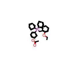 CC(=O)[O-].CCOc1ccccc1C[P+](c1ccccc1)(c1ccccc1)c1ccccc1